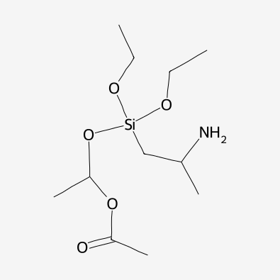 CCO[Si](CC(C)N)(OCC)OC(C)OC(C)=O